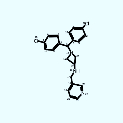 Clc1ccc(C(c2ccc(Cl)cc2)N2CC(NCc3cccnc3)C2)cc1